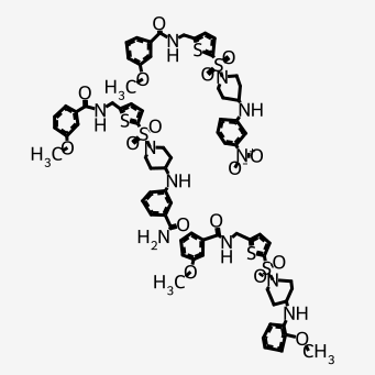 COc1cccc(C(=O)NCc2ccc(S(=O)(=O)N3CCC(Nc4cccc(C(N)=O)c4)CC3)s2)c1.COc1cccc(C(=O)NCc2ccc(S(=O)(=O)N3CCC(Nc4cccc([N+](=O)[O-])c4)CC3)s2)c1.COc1cccc(C(=O)NCc2ccc(S(=O)(=O)N3CCC(Nc4ccccc4OC)CC3)s2)c1